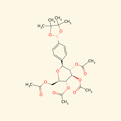 CC(=O)OC[C@H]1O[C@@H](c2ccc(B3OC(C)(C)C(C)(C)O3)cc2)[C@H](OC(C)=O)[C@@H](OC(C)=O)[C@@H]1OC(C)=O